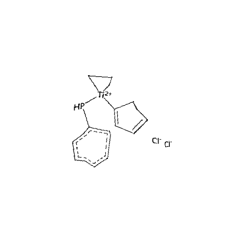 C1=CC[C]([Ti+2]2([PH]c3ccccc3)[CH2][CH2]2)=C1.[Cl-].[Cl-]